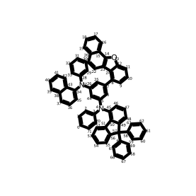 c1ccc(N(c2cc(-c3cccc4oc5c6ccccc6ccc5c34)cc(N(c3ccccc3)c3cccc4ccccc34)c2)c2cccc3c2-c2ccccc2C3(c2ccccc2)c2ccccc2)cc1